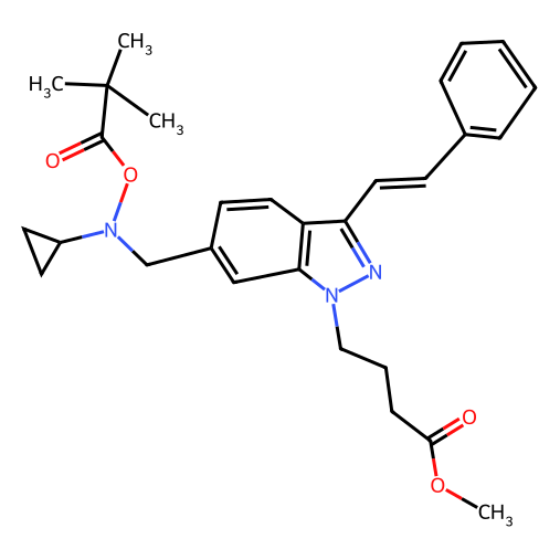 COC(=O)CCCn1nc(C=Cc2ccccc2)c2ccc(CN(OC(=O)C(C)(C)C)C3CC3)cc21